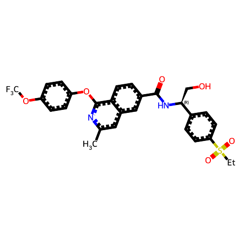 CCS(=O)(=O)c1ccc([C@H](CO)NC(=O)c2ccc3c(Oc4ccc(OC(F)(F)F)cc4)nc(C)cc3c2)cc1